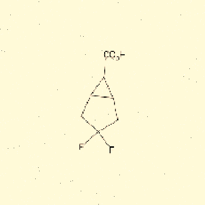 O=C(O)C1C2CC(F)(F)CC21